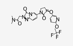 CN(C)C(=O)Cn1nc2ccc(N3CC[C@@H](Oc4ccc(OCC(F)(F)F)nc4)C3=O)cn2c1=O